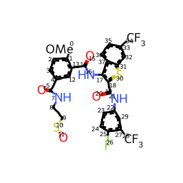 COc1ccc(C(=O)NCC[S+]=O)cc1C(=O)Nc1c(C(=O)Nc2ccc(F)c(C(F)(F)F)c2)sc2cc(C(F)(F)F)ccc12